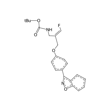 CC(C)(C)OC(=O)NC/C(=C\F)COc1ccc(-c2noc3ccccc23)cc1